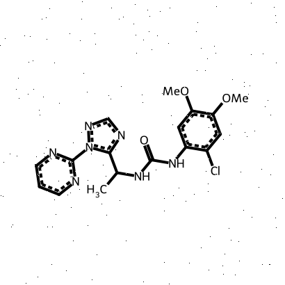 COc1cc(Cl)c(NC(=O)NC(C)c2ncnn2-c2ncccn2)cc1OC